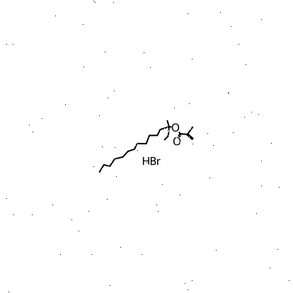 Br.C=C(C)C(=O)OC(C)(CC)CCCCCCCCCCCC